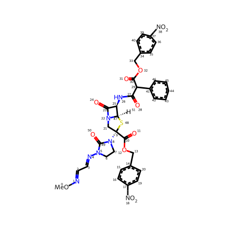 CO/N=C/C=N/N1CCN([C@]2(C(=O)OCc3ccc([N+](=O)[O-])cc3)CN3C(=O)[C@@H](NC(=O)C(C(=O)OCc4ccc([N+](=O)[O-])cc4)c4ccccc4)[C@H]3S2)C1=O